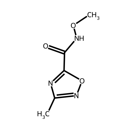 CONC(=O)c1nc(C)no1